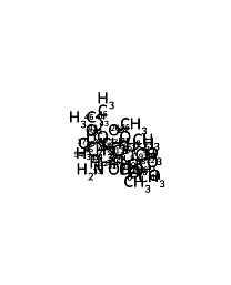 CC(=O)O[C@H]1[C@@H]2[C@H]([C@H](C)[C@H]3O[C@]34OC(=O)[C@@](C)(O)[C@]24C)[C@@]2(C)[C@@H](OC(C)=O)CC3C([C@@H](O)[C@H](N)[C@H]4C[C@@H]5O[C@@H]5[C@H](OC(=O)CC(C)C)[C@]34C)[C@H]12